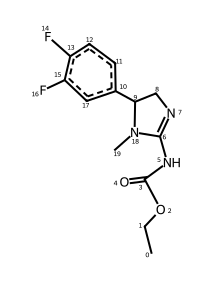 CCOC(=O)NC1=NCC(c2ccc(F)c(F)c2)N1C